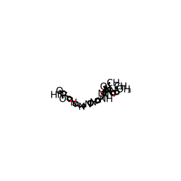 C=CCn1c(=O)c2cnc(Nc3ccc(N4CCN(C5CN(CC6CCN(c7ccc(C8CCC(=O)NC8=O)cc7)CC6)C5)CC4)cc3)nc2n1-c1ccc2c(n1)[C@@](O)(CC)CC2